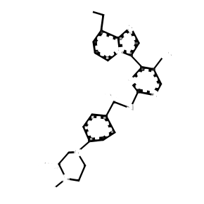 C[C@H](Nc1ncc(C#N)c(-c2cnc3c(CF)cccn23)n1)c1ccc(N2CCN(C)[C@H](C)C2)cc1